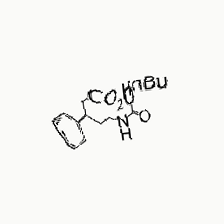 CCCCOC(=O)NCCC(CC(=O)O)c1ccccc1